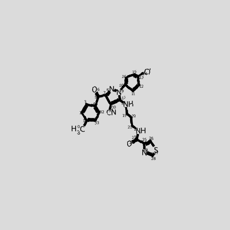 Cc1ccc(C(=O)c2nn(-c3ccc(Cl)cc3)c(NCCCNC(=O)c3cscn3)c2C#N)cc1